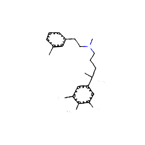 COc1cc([C@](C#N)(CCCN(C)CCc2cccc(C(F)(F)F)c2)C(C)C)cc(OC)c1OC